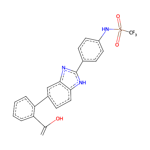 C=C(O)c1ccccc1-c1ccc2[nH]c(-c3ccc(NS(=O)(=O)C(F)(F)F)cc3)nc2c1